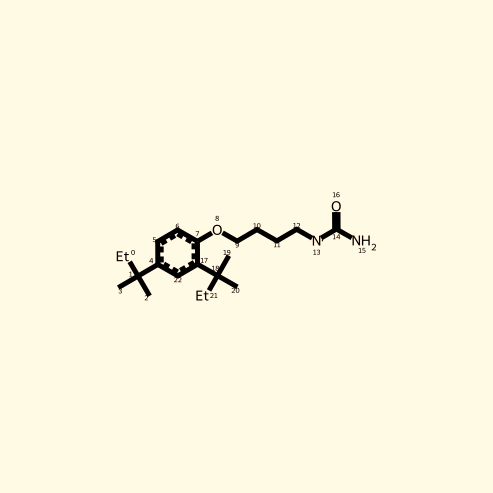 CCC(C)(C)c1ccc(OCCCC[N]C(N)=O)c(C(C)(C)CC)c1